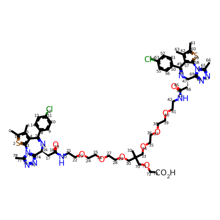 Cc1sc2c(c1C)C(c1ccc(Cl)cc1)=N[C@@H](CC(=O)NCCOCCOCCOCC(C)(COCCOCCOCCNC(=O)C[C@@H]1N=C(c3ccc(Cl)cc3)c3c(sc(C)c3C)-n3c(C)nnc31)COCC(=O)O)c1nnc(C)n1-2